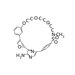 CN1CCOCCOCCOc2cccc(c2)-c2coc(c2)-c2nc(cnc2N)-c2ccc(cc2)S1(=O)=O